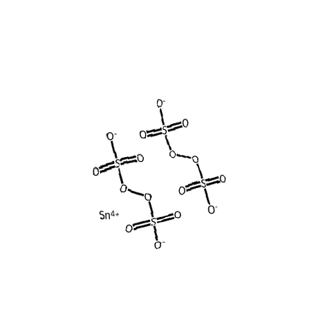 O=S(=O)([O-])OOS(=O)(=O)[O-].O=S(=O)([O-])OOS(=O)(=O)[O-].[Sn+4]